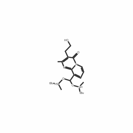 Cc1nc2c(C(O[SiH](C)C(C)(C)C)O[SiH](C)C(C)(C)C)cccn2c(=O)c1CCO